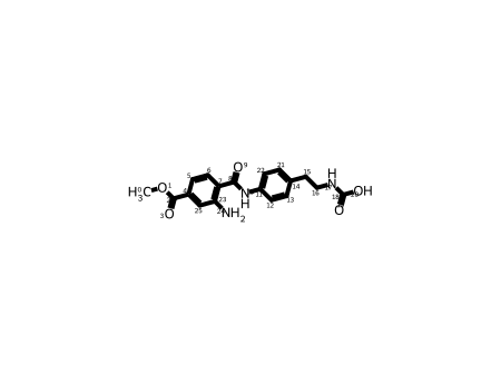 COC(=O)c1ccc(C(=O)Nc2ccc(CCNC(=O)O)cc2)c(N)c1